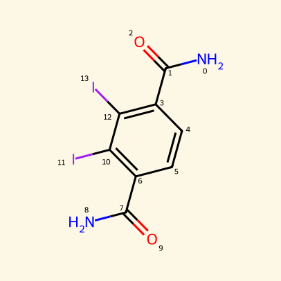 NC(=O)c1ccc(C(N)=O)c(I)c1I